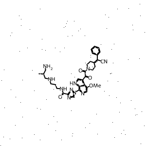 COc1cnc(-n2cnc(C(=O)NCCCNCC(C)CN)n2)c2[nH]cc(C(=O)C(=O)N3CCC(=C(C#N)c4ccccc4)CC3)c12